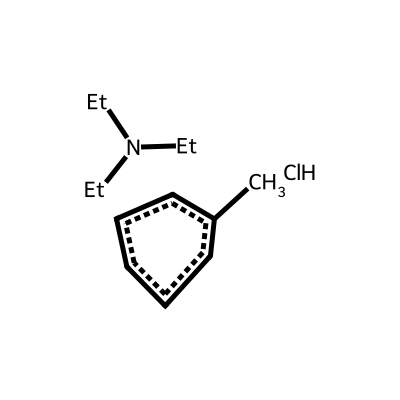 CCN(CC)CC.Cc1ccccc1.Cl